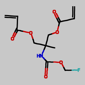 C=CC(=O)OCC(C)(COC(=O)C=C)NC(=O)OCF